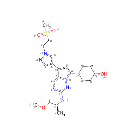 COC[C@H](C)Nc1ncc2c(-c3cnn(CCS(C)(=O)=O)c3)cc([C@H]3CC[C@H](O)CC3)n2n1